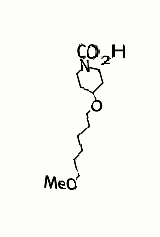 COCCCCCCOC1CCN(C(=O)O)CC1